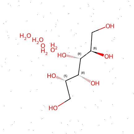 O.O.O.O.OC[C@@H](O)[C@@H](O)[C@H](O)[C@@H](O)CO